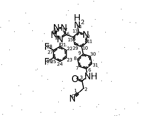 N#CCC(=O)Nc1ccc(-c2cnc(N)c(-c3nnnn3-c3cccc(F)c3F)c2)cc1